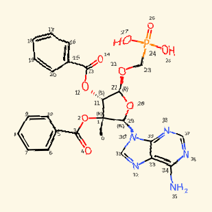 C[C@@]1(OC(=O)c2ccccc2)[C@H](OC(=O)c2ccccc2)[C@@H](OCP(=O)(O)O)O[C@H]1n1cnc2c(N)ncnc21